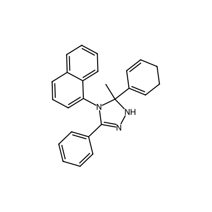 CC1(C2=CCCC=C2)NN=C(c2ccccc2)N1c1cccc2ccccc12